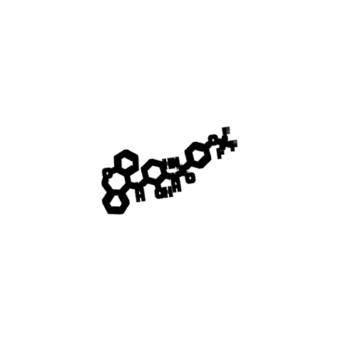 N=S(=O)(NC1CCCC(NC2c3ccccc3COc3ccccc32)C1O)c1ccc(OC(F)(F)F)cc1